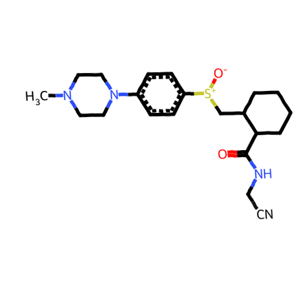 CN1CCN(c2ccc([S+]([O-])CC3CCCCC3C(=O)NCC#N)cc2)CC1